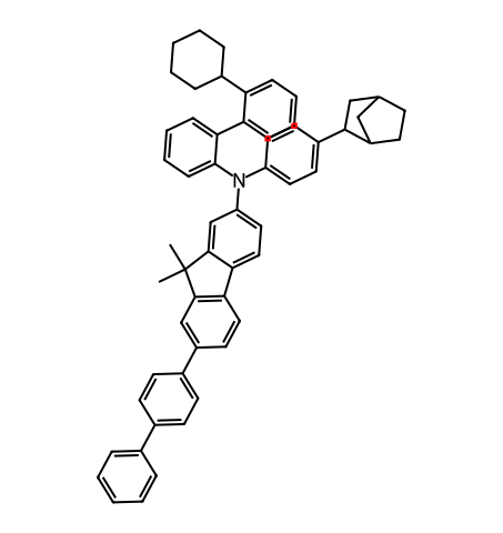 CC1(C)c2cc(-c3ccc(-c4ccccc4)cc3)ccc2-c2ccc(N(c3ccc(C4CC5CCC4C5)cc3)c3ccccc3-c3ccccc3C3CCCCC3)cc21